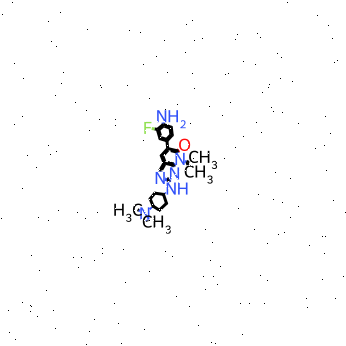 CC(C)n1c(=O)c(-c2ccc(N)c(F)c2)cc2cnc(N[C@H]3CC[C@H](N(C)C)CC3)nc21